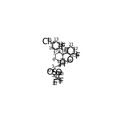 O=S(=O)(CC[C@@H]1CCC[C@@]2(Cc3ccc(Cl)cc3)c3c(F)ccc(F)c3OC[C@@H]12)CC(F)(F)F